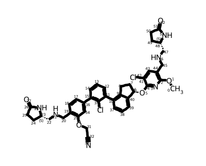 COc1nc(O[C@H]2CCc3c(-c4cccc(-c5ccc(CNC[C@@H]6CCC(=O)N6)c(OCC#N)c5)c4Cl)cccc32)c(Cl)cc1CNC[C@@H]1CCC(=O)N1